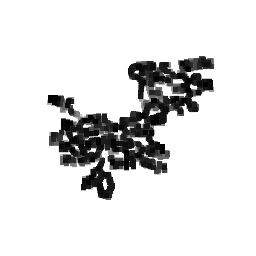 CC(=O)N[C@@H](CC(=O)O)C(=O)N[C@@H](CS)C(=O)N[C@@H](C)C(=O)N[C@@H](Cc1c[nH]c2ccccc12)C(=O)N[C@@H](CCN)C(=O)N[C@@H](CC(C)C)C(=O)NCC(=O)N[C@@H](CCC(=O)O)C(=O)N[C@@H](CC(C)C)C(=O)N[C@H](C(=O)N[C@@H](Cc1c[nH]c2ccccc12)C(=O)N[C@@H](CS)C(=O)N[C@H](C(=O)O)[C@@H](C)O)C(C)C